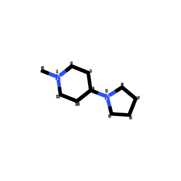 CN1CCC(N2C[CH]CC2)CC1